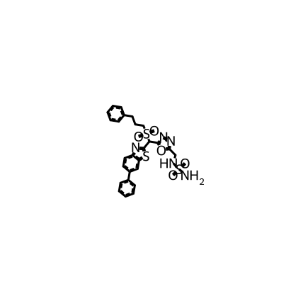 NS(=O)(=O)NCc1nnc(C(c2nc3ccc(-c4ccccc4)cc3s2)S(=O)(=O)CCCc2ccccc2)o1